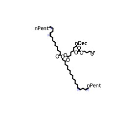 CCCCC/C=C\C/C=C\CCCCCCCCCCC(COC(=O)CCCCCCC/C=C\C/C=C\CCCCC)OC(=O)CCC(CCCCCCCCCCCC)OC(=O)OCCCN(C)C